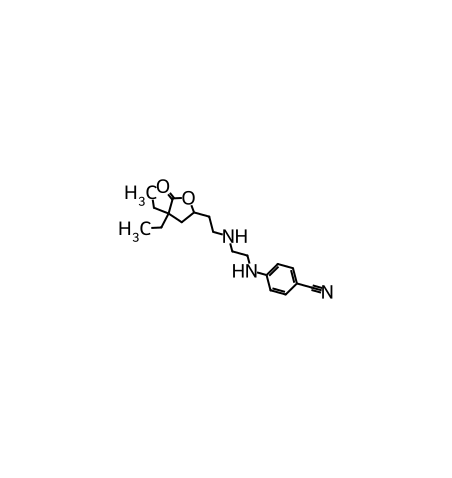 CCC1(CC)CC(CCNCCNc2ccc(C#N)cc2)OC1=O